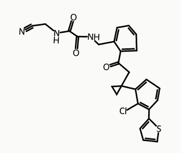 N#CCNC(=O)C(=O)NCc1ccccc1C(=O)CC1(c2cccc(-c3cccs3)c2Cl)CC1